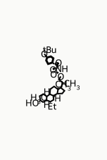 CC[C@H]1C[C@H]2C3CCC([C@H](C)COC(=O)NS(=O)(=O)c4ccc(OC(C)(C)C)cc4)[C@@]3(C)CC[C@@H]2[C@@]2(C)CC[C@@H](O)C[C@@H]12